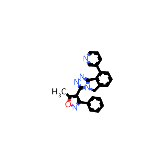 Cc1onc(-c2ccccc2)c1-c1nnc2n1Cc1cccc(-c3cccnc3)c1-2